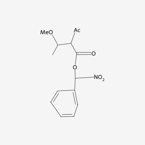 COC(C)C(C(C)=O)C(=O)OC(c1ccccc1)[N+](=O)[O-]